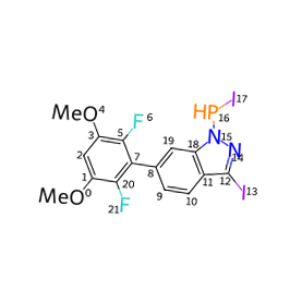 COc1cc(OC)c(F)c(-c2ccc3c(I)nn(PI)c3c2)c1F